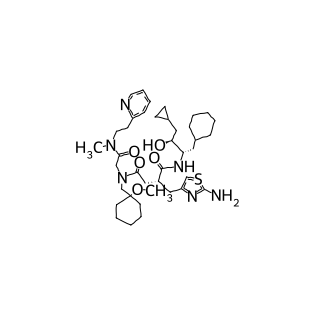 COC1(CN(CC(=O)N(C)CCc2ccccn2)C(=O)C[C@@H](Cc2csc(N)n2)C(=O)N[C@@H](CC2CCCCC2)[C@@H](O)CC2CC2)CCCCC1